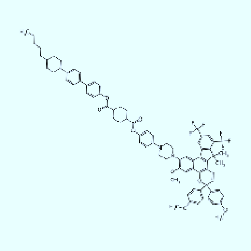 CCCCCC1CCC(c2ccc(-c3ccc(OC(=O)C4CCC(C(=O)Oc5ccc(N6CCN(c7cc8c9c(c%10c(c8cc7OC)OC(c7ccc(OC)cc7)(c7ccc(OC)cc7)C=C%10)C(C)(C)c7c-9cc(C(F)(F)F)cc7C(F)(F)F)CC6)cc5)CC4)cc3)cc2)CC1